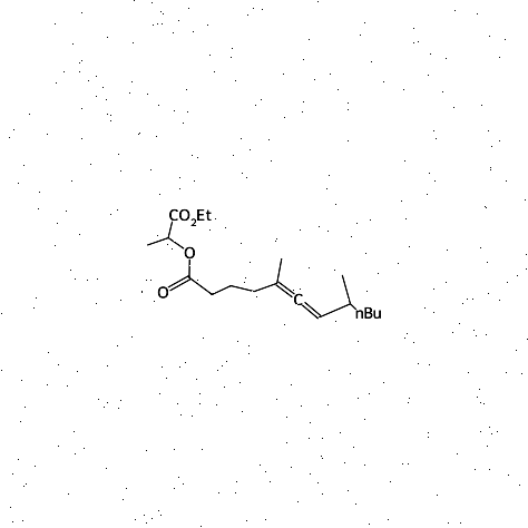 CCCCC(C)C=C=C(C)CCCC(=O)OC(C)C(=O)OCC